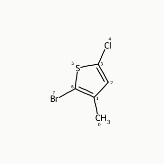 Cc1cc(Cl)sc1Br